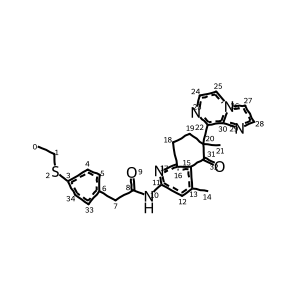 CCSc1ccc(CC(=O)Nc2cc(C)c3c(n2)CCC(C)(c2nccn4ccnc24)C3=O)cc1